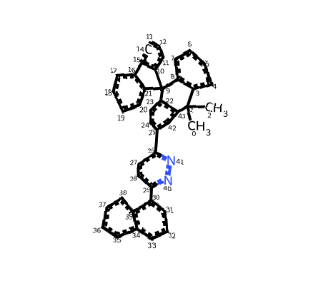 CC1(C)c2ccccc2C2(c3ccccc3-c3ccccc32)c2ccc(-c3ccc(-c4cccc5ccccc45)nn3)cc21